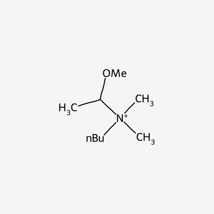 CCCC[N+](C)(C)C(C)OC